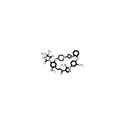 Cc1cc(-n2ncc(C(=O)/C=C/c3cc(OC4CCN(C5CCC5)CC4)c(N4C(=O)NC(C)(C)C4=O)cc3N)c2N)ccc1Oc1ccccc1F